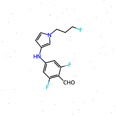 O=Cc1c(F)cc(Nc2ccn(CCCF)c2)cc1F